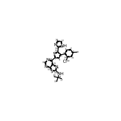 Cc1ccc(-c2cc(-c3ncnc4sc(NC(C)(C)C)nc34)sc2-c2ncc[nH]2)c(Cl)c1